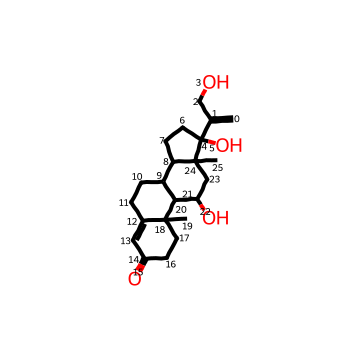 C=C(CO)C1(O)CCC2C3CCC4=CC(=O)CCC4(C)C3C(O)CC21C